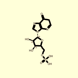 O=C1CC=Nc2c1ncn2[C@@H]1OC(COP(=O)(O)O)[C@@H](O)[C@H]1O